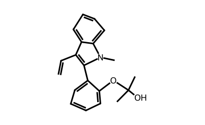 C=Cc1c(-c2ccccc2OC(C)(C)O)n(C)c2ccccc12